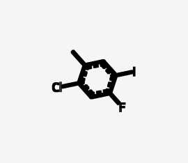 Cc1cc(I)c(F)cc1Cl